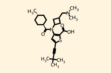 CN(C)CC1CC(N(c2cc(C#CC(C)(C)C)sc2C(=O)O)C(=O)[C@H]2CC[C@H](C)CC2)C1